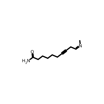 C/N=C\CC#CCCCCCC(N)=O